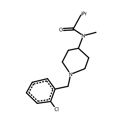 CC(C)C(=O)N(C)C1CCN(Cc2ccccc2Cl)CC1